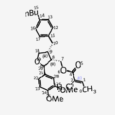 C/C=C(\C)C(=O)OC[C@H]1[C@@H](Cc2ccc(CCCC)cc2)CO[C@@H]1c1ccc(OC)c(OC)c1